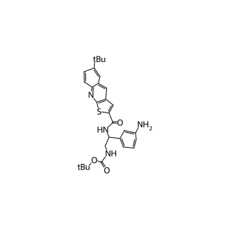 CC(C)(C)OC(=O)NCC(NC(=O)c1cc2cc3cc(C(C)(C)C)ccc3nc2s1)c1cccc(N)c1